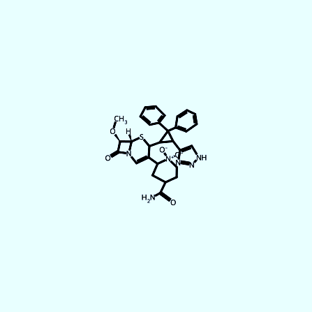 CO[C@@H]1C(=O)N2C=C(C3CC(C(N)=O)CC[N+]3([O-])[O-])C(C3C(c4c[nH]nn4)C3(c3ccccc3)c3ccccc3)S[C@@H]12